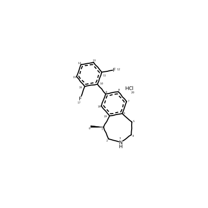 C[C@@H]1CNCCc2ccc(-c3c(F)cccc3F)cc21.Cl